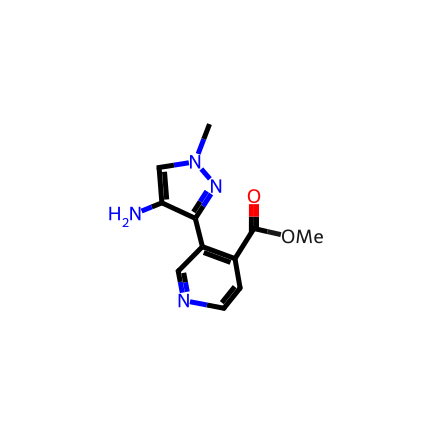 COC(=O)c1ccncc1-c1nn(C)cc1N